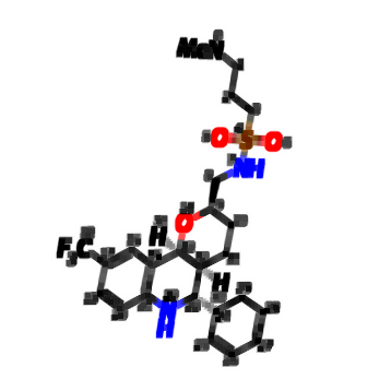 CNCCCS(=O)(=O)NC[C@H]1CC[C@@H]2[C@H](O1)c1cc(C(F)(F)F)ccc1N[C@H]2C1C=CC=CC1